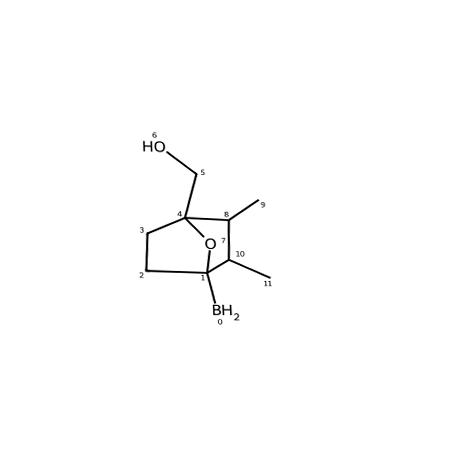 BC12CCC(CO)(O1)C(C)C2C